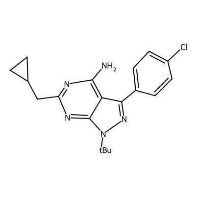 CC(C)(C)n1nc(-c2ccc(Cl)cc2)c2c(N)nc(CC3CC3)nc21